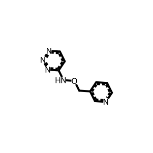 c1cncc(CONc2ccnnn2)c1